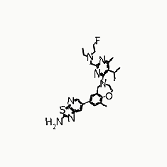 CCN(CCF)Cc1nc(C)c(C(C)C)c(N2CCOc3c(C)cc(-c4cnc5sc(N)nc5c4)cc3C2)n1